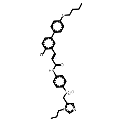 CCCCOc1ccc(-c2ccc(Cl)c(/C=C/C(=O)Nc3ccc([S@+]([O-])Cc4cncn4CCC)cc3)c2)cc1